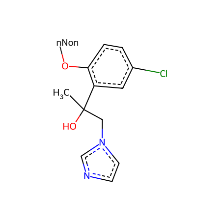 CCCCCCCCCOc1ccc(Cl)cc1C(C)(O)Cn1ccnc1